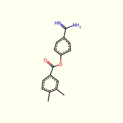 Cc1ccc(C(=O)Oc2ccc(C(=N)N)cc2)cc1C